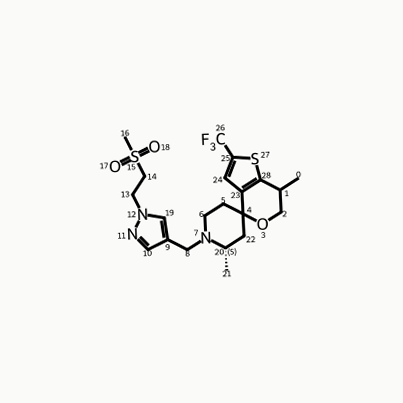 CC1COC2(CCN(Cc3cnn(CCS(C)(=O)=O)c3)[C@@H](C)C2)c2cc(C(F)(F)F)sc21